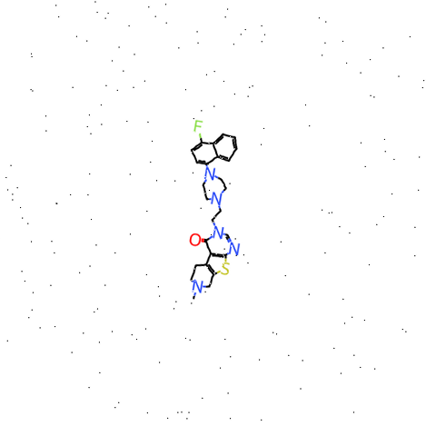 CN1CCc2c(sc3ncn(CCN4CCN(c5ccc(F)c6ccccc56)CC4)c(=O)c23)C1